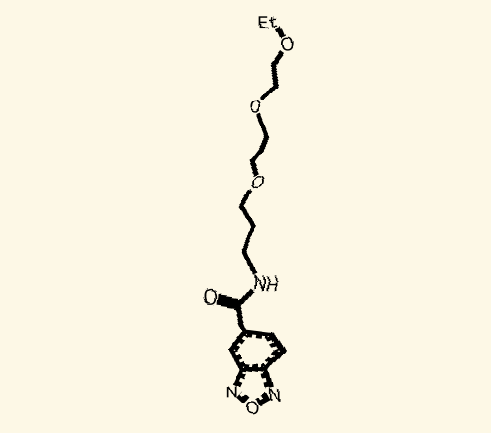 CCOCCOCCOCCCNC(=O)c1ccc2nonc2c1